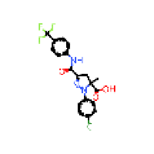 CC1(C(=O)O)CC(C(=O)Nc2ccc(C(F)(F)F)cc2)=NN1c1ccc(Cl)cc1